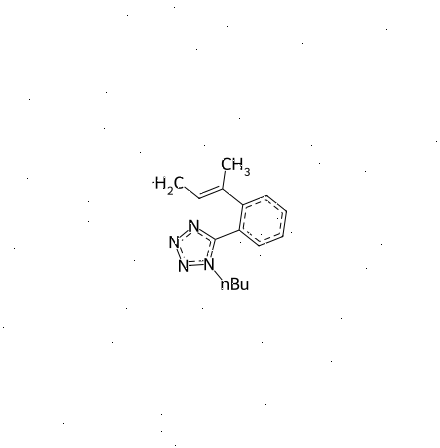 [CH2]C=C(C)c1ccccc1-c1nnnn1CCCC